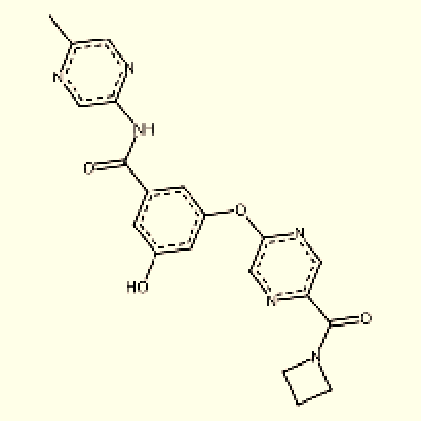 Cc1cnc(NC(=O)c2cc(O)cc(Oc3cnc(C(=O)N4CCC4)cn3)c2)cn1